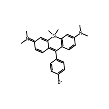 CN(C)c1ccc2c(c1)[Si](C)(C)C1=CC(=[N+](C)C)C=CC1=C2c1ccc(Br)cc1